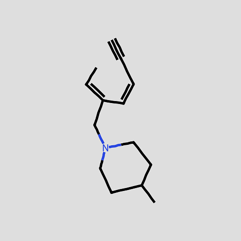 C#C/C=C\C(=C/C)CN1CCC(C)CC1